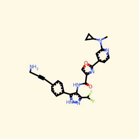 CN(c1cc(-c2nc(C(=O)Nc3c(C(F)F)n[nH]c3-c3ccc(C#CCN)cc3)co2)ccn1)C1CC1